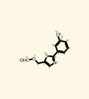 O=[C]OCc1cnc(-c2cccc(C(F)(F)F)c2)s1